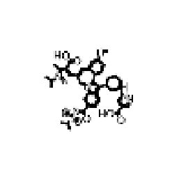 COc1ccc2c(c1)C=C(c1nn(C(C)C)c(C)c1C(=O)O)Cn1c-2c(C2CCCCC2)c2ccc(C(=O)NS(=O)(=O)C(C)C)cc21.O=C(O)c1cn[nH]c1